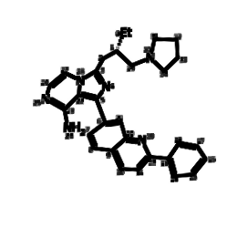 CC[C@@H](Cc1nc(-c2ccc3ccc(-c4ccccc4)nc3c2)c2c(N)nccn12)CN1CCCC1